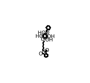 O=C1c2ccccc2C(=O)N1CCCCCCO[C@H]1[C@@H](O)[C@@H](O)[C@H](OCc2ccccc2)[C@@H](O)[C@@H]1O